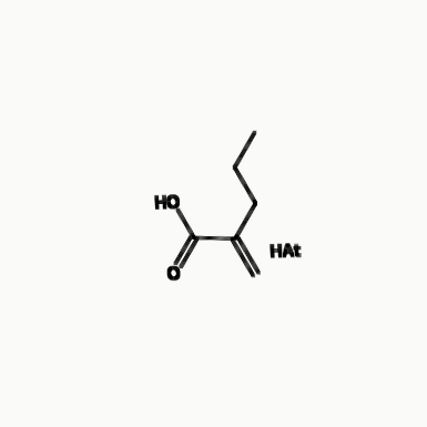 C=C(CCC)C(=O)O.[AtH]